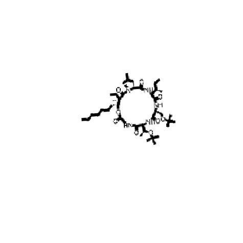 CCCCCCC[C@H]1OC(=O)CNC(=O)[C@H]([C@H](C)OC(C)(C)C)NC(=O)[C@H](COC(C)(C)C)NC(=O)[C@H]([C@H](C)CC)NC(=O)[C@H](CC(C)C)N(C)C(=O)[C@]1(C)CC